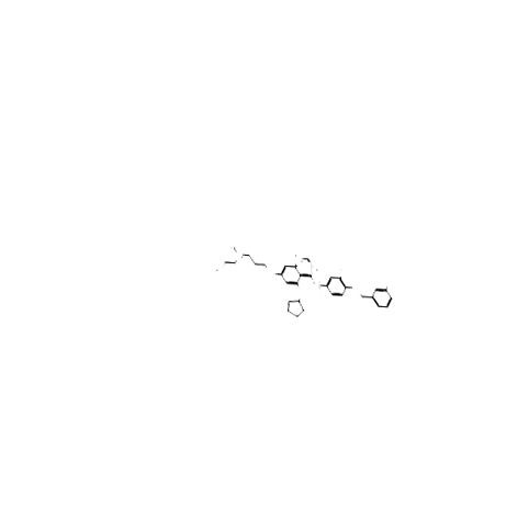 COCCN(C)CCCOc1cc(OC2CCCC2)c2c(Nc3ccc(OCc4cccc(F)c4)c(Cl)c3)ncnc2c1.Cl